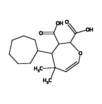 CC1(C)C=COC(C(=O)O)C(C(=O)O)C1C1CCCCCC1